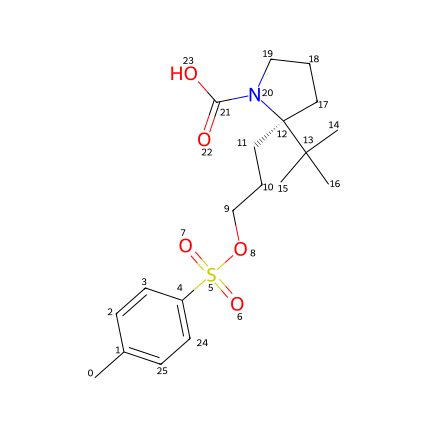 Cc1ccc(S(=O)(=O)OCCC[C@@]2(C(C)(C)C)CCCN2C(=O)O)cc1